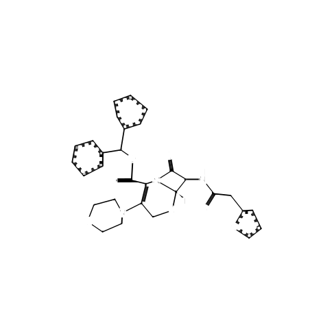 O=C(Cc1cccs1)NC1C(=O)N2C(C(=O)OC(c3ccccc3)c3ccccc3)=C(N3CCOCC3)CS[C@@H]12